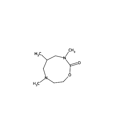 CC1CN(C)CCOC(=O)N(C)C1